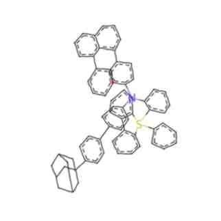 c1ccc(-c2cccc3cccc(-c4ccc(N(c5ccc(-c6ccc(C78CC9CC(CC(C9)C7)C8)cc6)cc5)c5ccccc5S5(c6ccccc6)c6ccccc6-c6ccccc65)cc4)c23)cc1